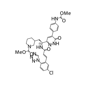 COC(=O)Nc1ccc(-c2cc([C@H](CC3CCCN(C(=O)OC)C3)NC(=O)C=Cc3cc(Cl)ccc3-n3cnnn3)n[nH]c2=O)cc1